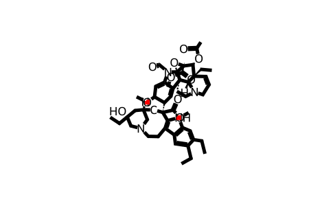 CCc1cc2[nH]c3c(c2cc1CC)CCN1C[C@H](C[C@@](O)(CC)C1)C[C@]3(C(=O)OC)C1C=C2C(=CC1OC)N(C=O)[C@@]13O[C@]1(C(=O)OC)[C@H](OC(C)=O)[C@]1(CC)C=CCN4CC[C@]23[C@@H]41